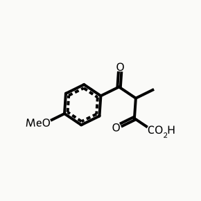 COc1ccc(C(=O)C(C)C(=O)C(=O)O)cc1